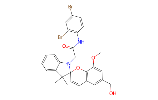 COc1cc(CO)cc2c1OC1(C=C2)N(CC(=O)Nc2ccc(Br)cc2Br)c2ccccc2C1(C)C